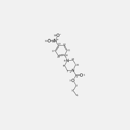 CCCOC(=O)N1CCN(c2ccc([N+](=O)[O-])cc2)CC1